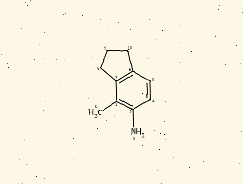 Cc1c(N)ccc2c1CCC2